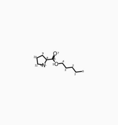 CCCCCOC(=O)C1CCC[N]1